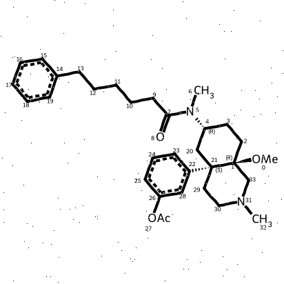 CO[C@]12CC[C@@H](N(C)C(=O)CCCCCc3ccccc3)C[C@]1(c1cccc(OC(C)=O)c1)CCN(C)C2